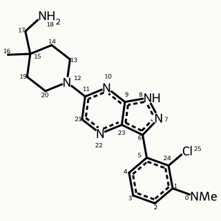 CNc1cccc(-c2n[nH]c3nc(N4CCC(C)(CN)CC4)cnc23)c1Cl